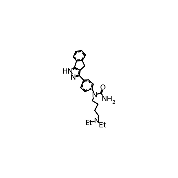 CCN(CC)CCCCN(C(N)=O)c1ccc(-c2n[nH]c3c2Cc2ccccc2-3)cc1